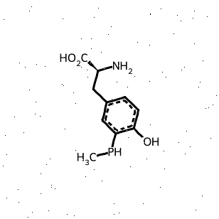 CPc1cc(C[C@H](N)C(=O)O)ccc1O